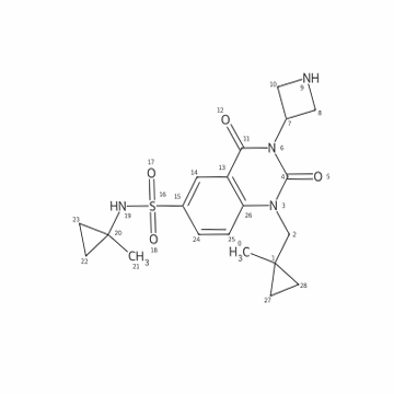 CC1(Cn2c(=O)n(C3CNC3)c(=O)c3cc(S(=O)(=O)NC4(C)CC4)ccc32)CC1